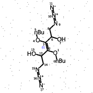 CCCCO/C(=C(/OCCCC)C(O)CN=[N+]=[N-])C(O)CN=[N+]=[N-]